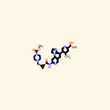 CCC[C@@H](O)c1cc(C)c(-c2cc3cnc(NC(=O)[C@@H]4C[C@H]4CN4CCN(C(=O)OC(C)(C)C)CC4)cc3n3ccnc23)cn1